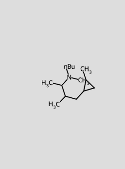 CCCCN(C)C(C)C(C)CC1CC1C